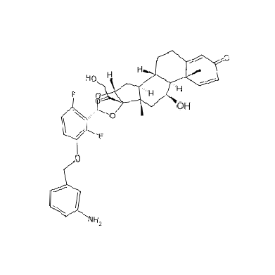 C[C@]12C=CC(=O)C=C1CC[C@@H]1[C@@H]2[C@@H](O)C[C@@]2(C)[C@H]1C[C@H]1O[C@@H](c3c(F)ccc(OCc4cccc(N)c4)c3F)O[C@]12C(=O)CO